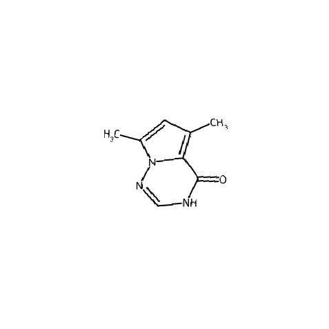 Cc1cc(C)n2nc[nH]c(=O)c12